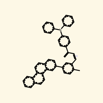 C=C(/C=C\c1cc(-c2ccc3ccc4c5ccccc5ccc4c3c2)ccc1C)c1ccc(N(c2ccccc2)c2ccccc2)cc1